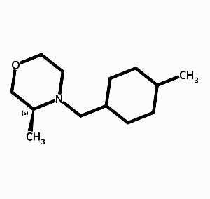 CC1CCC(CN2CCOC[C@@H]2C)CC1